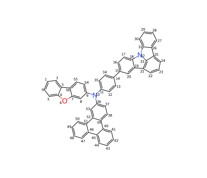 c1ccc2c(c1)oc1cc(N(c3ccc(-c4ccc5c(c4)c4cccc6c7ccccc7n5c64)cc3)c3ccc4c5ccccc5c5ccccc5c4c3)ccc12